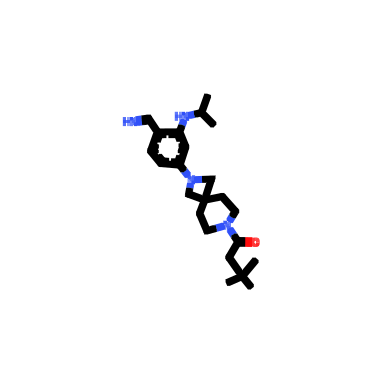 CC(C)Nc1cc(N2CC3(CCN(C(=O)CC(C)(C)C)CC3)C2)ccc1C=N